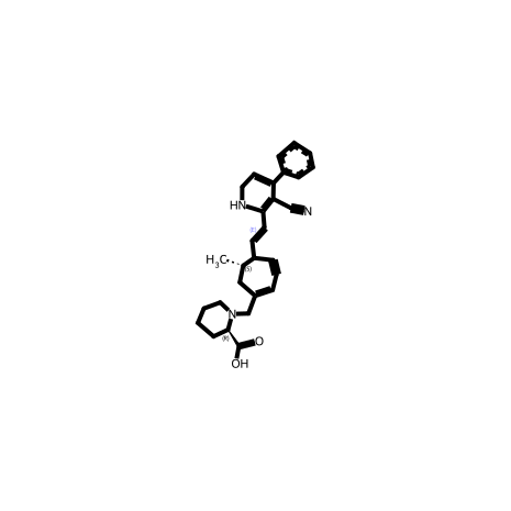 C[C@H]1CC(CN2CCCC[C@@H]2C(=O)O)=CC#CC1/C=C/C1=C(C#N)C(c2ccccc2)=CCN1